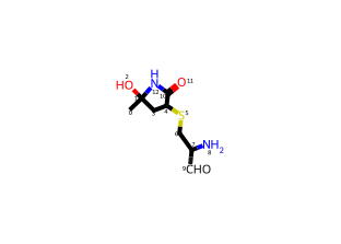 CC1(O)CC(SCC(N)C=O)C(=O)N1